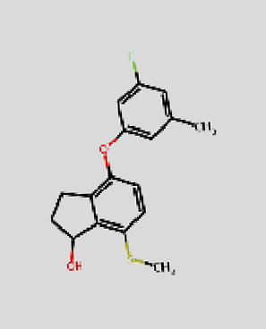 CSc1ccc(Oc2cc(C)cc(F)c2)c2c1C(O)CC2